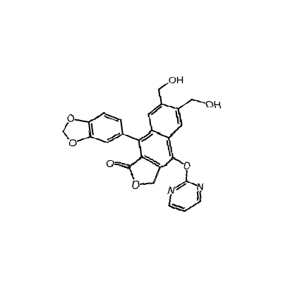 O=C1OCc2c1c(-c1ccc3c(c1)OCO3)c1cc(CO)c(CO)cc1c2Oc1ncccn1